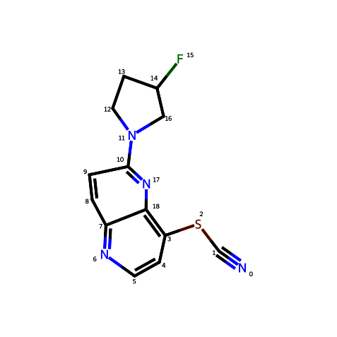 N#CSc1ccnc2ccc(N3CCC(F)C3)nc12